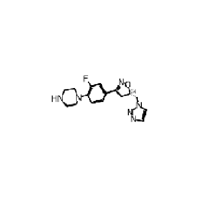 Fc1cc(C2=NO[C@H](Cn3ccnn3)C2)ccc1N1CCNCC1